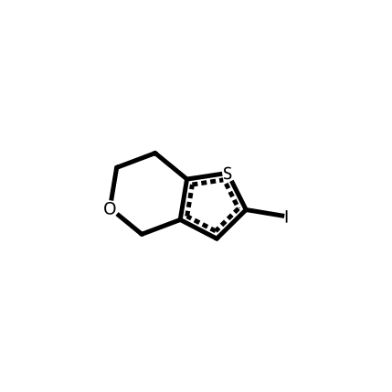 Ic1cc2c(s1)CCOC2